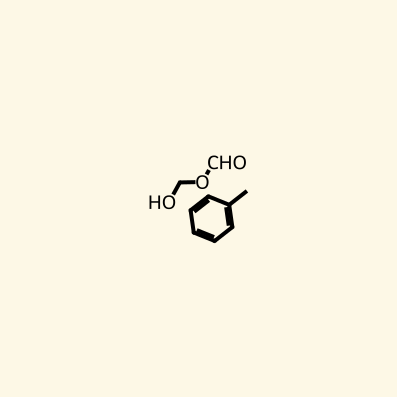 Cc1ccccc1.O=COCO